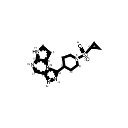 O=S(=O)(C1CC1)N1CCC(c2nnc3cnc4[nH]ccc4n23)CC1